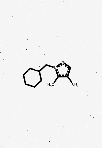 Cc1cnn(CC2CCCCC2)c1C